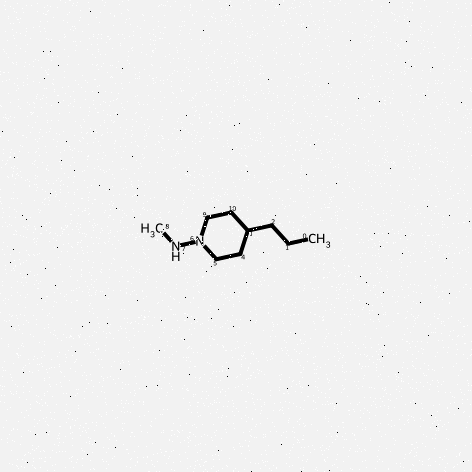 CCCC1CCN(NC)CC1